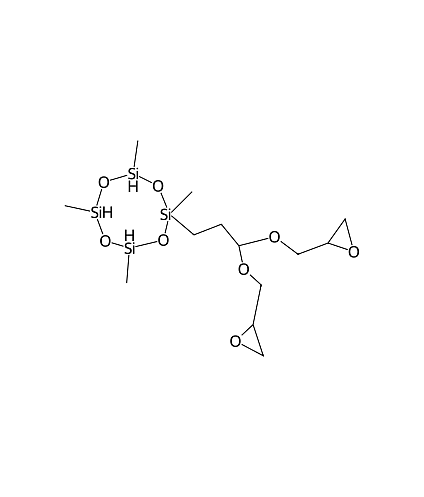 C[SiH]1O[SiH](C)O[Si](C)(CCC(OCC2CO2)OCC2CO2)O[SiH](C)O1